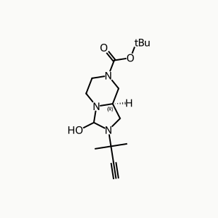 C#CC(C)(C)N1C[C@@H]2CN(C(=O)OC(C)(C)C)CCN2C1O